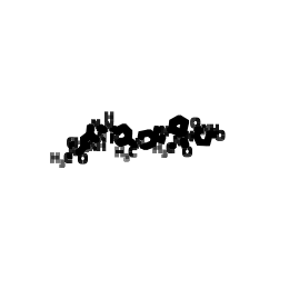 CC(c1ccc(Nc2ncc3cc(C(=O)N(C)C)[nH]c3n2)nc1)N1CCC2(CC1)CN(c1cccc3c1n(C)c(=O)n3[C@@H]1CCC(=O)NC1=O)C2